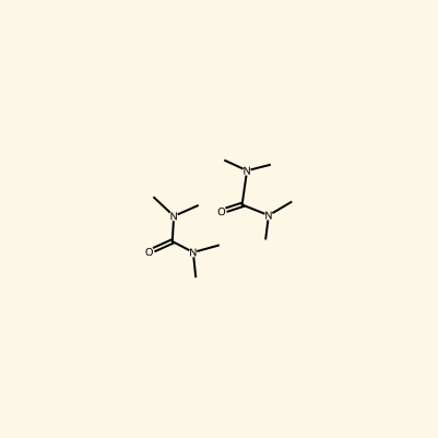 CN(C)C(=O)N(C)C.CN(C)C(=O)N(C)C